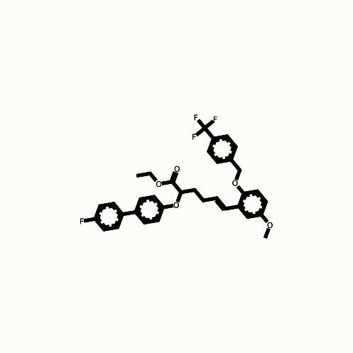 CCOC(=O)C(CCC=Cc1cc(OC)ccc1OCc1ccc(C(F)(F)F)cc1)Oc1ccc(-c2ccc(F)cc2)cc1